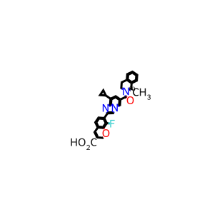 C[C@@H]1c2ccccc2CCN1C(=O)c1cc(C2CC2)c2nc(-c3ccc4c(c3F)OCC(C(=O)O)=C4)cn2c1